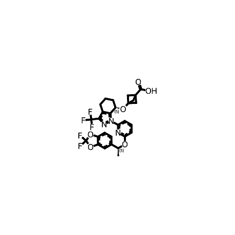 C[C@H](Oc1cccc(-n2nc(C(F)(F)F)c3c2[C@@H](OC24CC(C(=O)O)(C2)C4)CCC3)n1)c1ccc2c(c1)OC(F)(F)O2